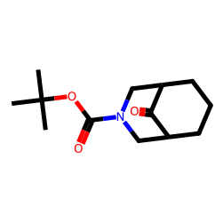 CC(C)(C)OC(=O)N1CC2CCCC(C1)C2=O